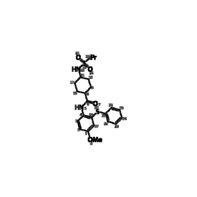 COc1ccc(NC(=O)C2CCC(NS(=O)(=O)C(C)C)CC2)c(Sc2ccccc2)c1